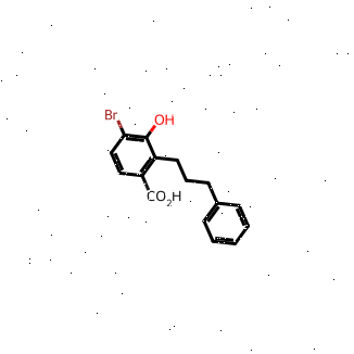 O=C(O)c1ccc(Br)c(O)c1CCCc1ccccc1